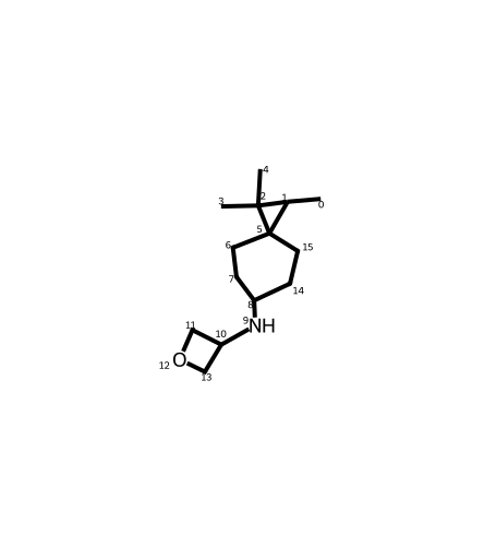 CC1C(C)(C)C12CCC(NC1COC1)CC2